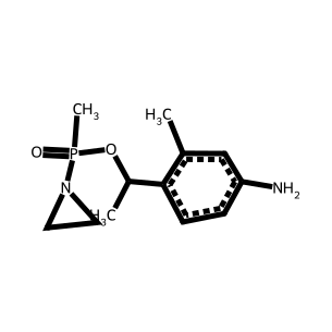 Cc1cc(N)ccc1C(C)OP(C)(=O)N1CC1